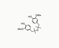 COc1cc(CC(C)(C)OC(C)(C)Cc2ccc(O)c(OC)c2)ccc1O